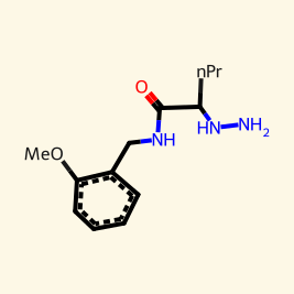 CCCC(NN)C(=O)NCc1ccccc1OC